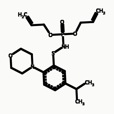 C=CCOP(=O)(NSc1cc(C(C)C)ccc1N1CCOCC1)OCC=C